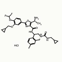 C[C@H](N)c1oc(-c2ccc(OC(F)F)c(OCC3CC3)c2)nc1C(=O)NC(CNC(=O)NCC1CC1)c1ccc(F)cc1F.Cl